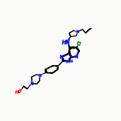 CCCN1CC[C@H](Nc2c(Cl)cnc3[nH]c(-c4ccc(N5CCN(CCO)CC5)cc4)nc23)C1